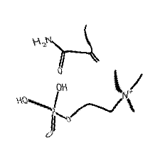 C=C(C)C(N)=O.C[N+](C)(C)CCOP(=O)(O)O